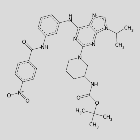 CC(C)n1cnc2c(Nc3cccc(NC(=O)c4ccc([N+](=O)[O-])cc4)c3)nc(N3CCCC(NC(=O)OC(C)(C)C)C3)nc21